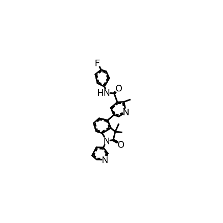 Cc1ncc(-c2cccc3c2C(C)(C)C(=O)N3c2cccnc2)cc1C(=O)Nc1ccc(F)cc1